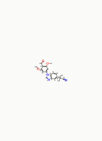 COc1cc(-n2cnc3cc(C(C)(C)C#N)ccc32)cc(OC)c1C=O